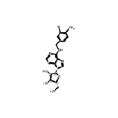 Nc1ccc(CNc2ncnc3c2ncn3[C@@H]2O[C@H](CO)[C@@H](O)[C@H]2O)cc1Cl